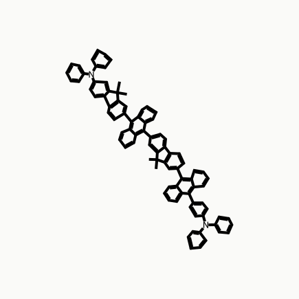 CC1(C)c2cc(-c3c4ccccc4c(-c4ccc(N(c5ccccc5)c5ccccc5)cc4)c4ccccc34)ccc2-c2ccc(-c3c4ccccc4c(-c4ccc5c(c4)C(C)(C)c4cc(N(c6ccccc6)c6ccccc6)ccc4-5)c4ccccc34)cc21